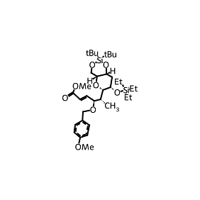 CC[Si](CC)(CC)O[C@H]1C[C@H]2O[Si](C(C)(C)C)(C(C)(C)C)OC[C@H]2O[C@H]1[C@H](C)[C@H](/C=C/C(=O)OC)OCc1ccc(OC)cc1